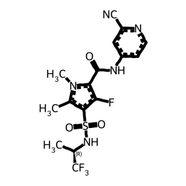 Cc1c(S(=O)(=O)N[C@H](C)C(F)(F)F)c(F)c(C(=O)Nc2ccnc(C#N)c2)n1C